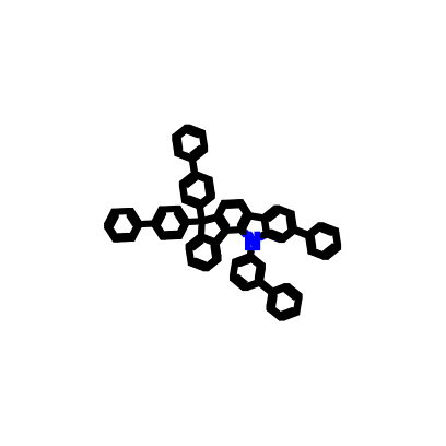 c1ccc(-c2ccc(C3(c4ccc(-c5ccccc5)cc4)c4ccccc4-c4c3ccc3c5ccc(-c6ccccc6)cc5n(-c5cccc(-c6ccccc6)c5)c43)cc2)cc1